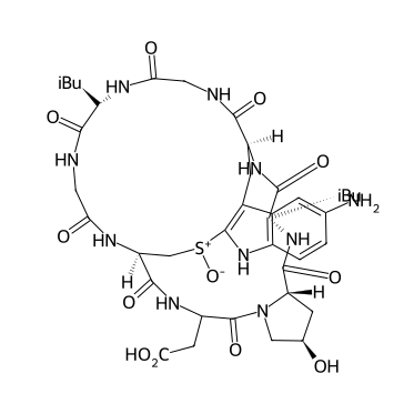 CC[C@H](C)[C@@H]1NC(=O)CNC(=O)[C@@H]2Cc3c([nH]c4ccc(N)cc34)[S+]([O-])C[C@H](NC(=O)CNC1=O)C(=O)NC(CC(=O)O)C(=O)N1C[C@H](O)C[C@H]1C(=O)N[C@@H]([C@@H](C)CC)C(=O)N2